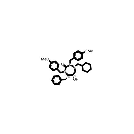 COc1ccc(CN2C(=O)N(Cc3ccc(OC)cc3)N(CC3CCCCC3)C[C@H](O)[C@@H]2Cc2ccccc2)cc1